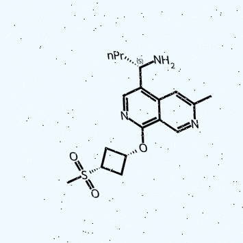 CCC[C@H](N)c1cnc(O[C@H]2C[C@@H](S(C)(=O)=O)C2)c2cnc(C)cc12